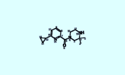 CC1(C)CN(C(=O)c2cccc(C3CC3)n2)CCN1